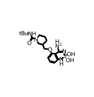 CC(C)(C)NC(=O)N1CCCC(COc2cccc3c2C(N)=NS(O)(O)N3)C1